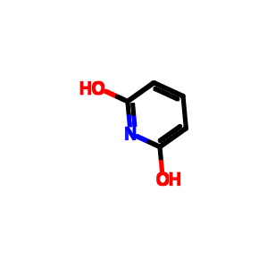 Oc1cccc(O)n1